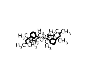 C=C(C)CC(C)(C)c1cccc(C(C)(C)OOC(C)(C)c2cccc(C(C)(C)CC(=C)C)c2)c1